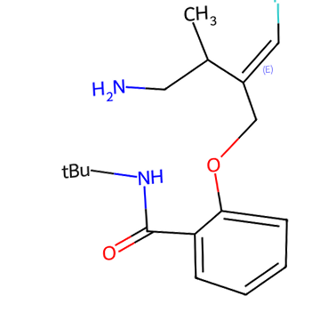 CC(CN)/C(=C\F)COc1ccccc1C(=O)NC(C)(C)C